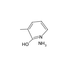 Cc1cccnc1O.N